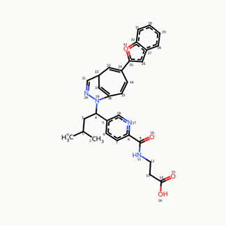 CC(C)CC(c1ccc(C(=O)NCCC(=O)O)nc1)N1N=CC2C=C(c3cc4ccccc4o3)C=CC1=C2